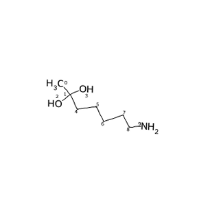 CC(O)(O)CCCCCN